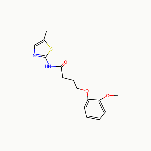 COc1ccccc1OCCCC(=O)Nc1ncc(C)s1